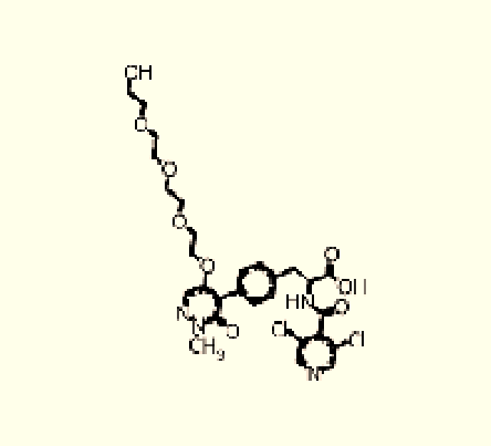 Cn1ncc(OCCOCCOCCOCCO)c(-c2ccc(C[C@H](NC(=O)c3c(Cl)cncc3Cl)C(=O)O)cc2)c1=O